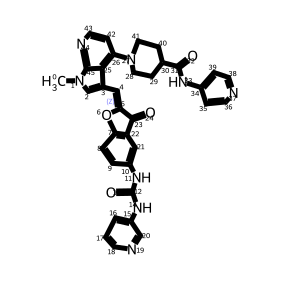 Cn1cc(/C=C2\Oc3ccc(NC(=O)Nc4cccnc4)cc3C2=O)c2c(N3CCC(C(=O)Nc4ccncc4)CC3)ccnc21